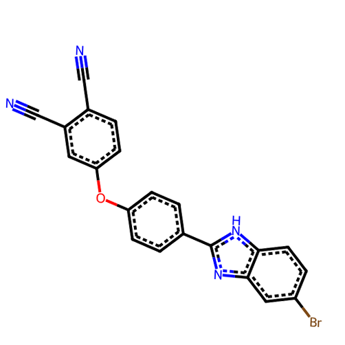 N#Cc1ccc(Oc2ccc(-c3nc4cc(Br)ccc4[nH]3)cc2)cc1C#N